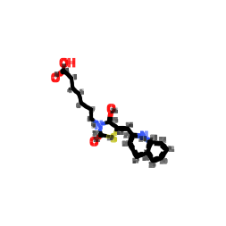 O=C(O)CCCCCCN1C(=O)S/C(=C\c2ccc3ccccc3n2)C1=O